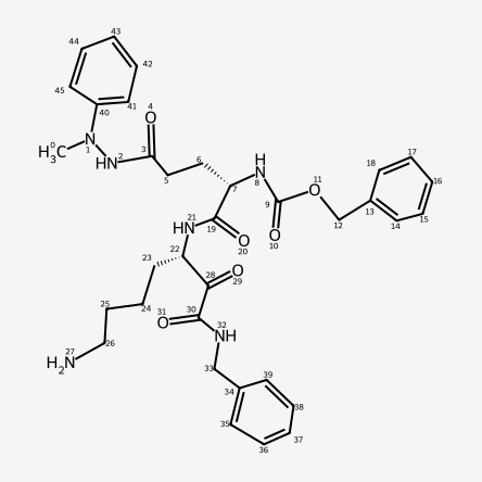 CN(NC(=O)CC[C@H](NC(=O)OCc1ccccc1)C(=O)N[C@@H](CCCCN)C(=O)C(=O)NCc1ccccc1)c1ccccc1